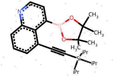 CC(C)[Si](C#Cc1cccc2nccc(B3OC(C)(C)C(C)(C)O3)c12)(C(C)C)C(C)C